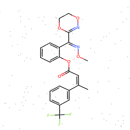 CON=C(C1=NOCCO1)c1ccccc1OC(=O)C=C(C)c1cccc(C(F)(F)F)c1